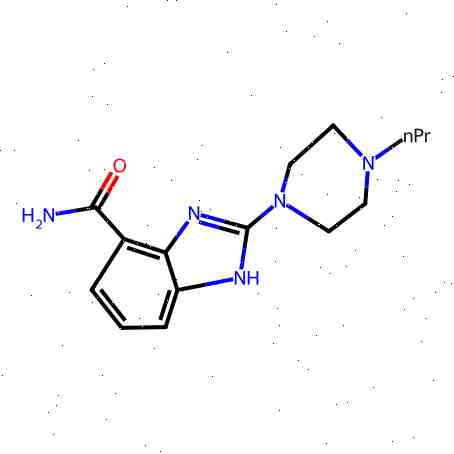 CCCN1CCN(c2nc3c(C(N)=O)cccc3[nH]2)CC1